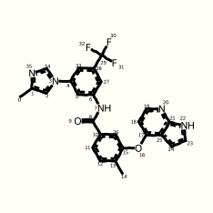 Cc1cn(-c2cc(NC(=O)c3ccc(C)c(Oc4ccnc5[nH]ccc45)c3)cc(C(F)(F)F)c2)cn1